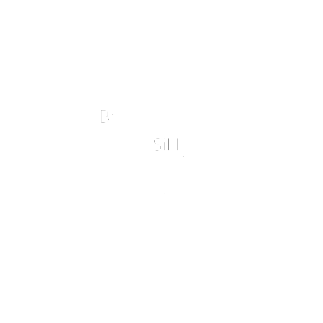 C=CC(C=C)[SiH2]Br